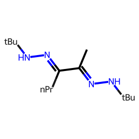 CCCC(=N\NC(C)(C)C)/C(C)=N/NC(C)(C)C